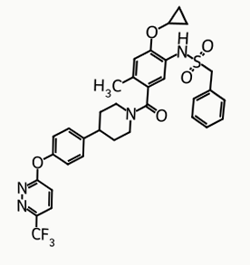 Cc1cc(OC2CC2)c(NS(=O)(=O)Cc2ccccc2)cc1C(=O)N1CCC(c2ccc(Oc3ccc(C(F)(F)F)nn3)cc2)CC1